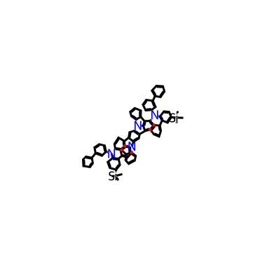 C[Si](C)(C)c1ccc(N(c2cccc(-c3ccccc3)c2)c2ccc3c4cc5c(cc4n4c6ccccc6c2c34)c2ccc(N(c3cccc(-c4ccccc4)c3)c3ccc([Si](C)(C)C)cc3-c3ccccc3)c3c4ccccc4n5c23)c(-c2ccccc2)c1